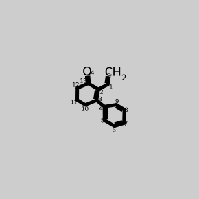 C=CC1=C(c2ccccc2)CCCC1=O